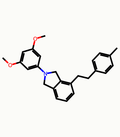 COc1cc(OC)cc(N2Cc3cccc(CCc4ccc(C)cc4)c3C2)c1